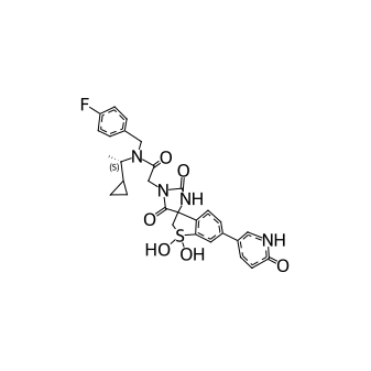 C[C@@H](C1CC1)N(Cc1ccc(F)cc1)C(=O)CN1C(=O)NC2(CS(O)(O)c3cc(-c4ccc(=O)[nH]c4)ccc32)C1=O